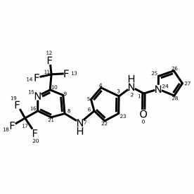 O=C(Nc1ccc(Nc2cc(C(F)(F)F)nc(C(F)(F)F)c2)cc1)n1cccc1